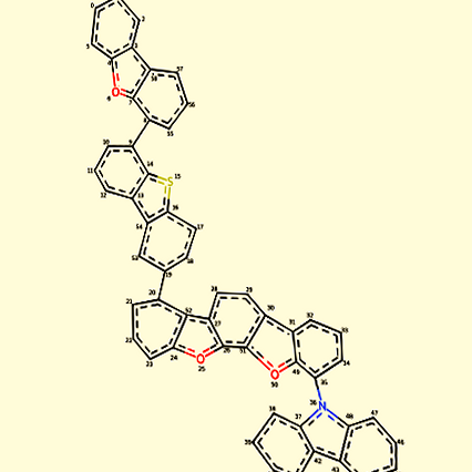 c1ccc2c(c1)oc1c(-c3cccc4c3sc3ccc(-c5cccc6oc7c(ccc8c9cccc(-n%10c%11ccccc%11c%11ccccc%11%10)c9oc87)c56)cc34)cccc12